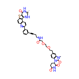 C[C@@H]1CNc2c(sc3ccc4nc(-c5cccc(C#CCCNC(=O)COCCOCCc6ccc7c(c6)n(C)c(=O)n7C6CCC(=O)NC6=O)c5)ccc4c23)C(=O)N1